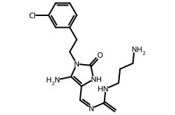 C=C(/N=C\c1[nH]c(=O)n(CCc2cccc(Cl)c2)c1N)NCCCN